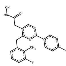 Cc1c(F)cccc1Cc1nc(-c2ccc(F)cc2)ncc1CC(=O)NO